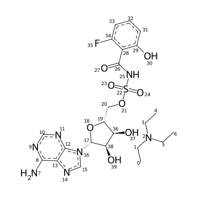 CCN(CC)CC.Nc1ncnc2c1ncn2[C@@H]1O[C@H](COS(=O)(=O)NC(=O)c2c(O)cccc2F)[C@@H](O)[C@H]1O